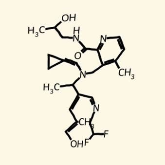 CC(/C=C(\C=N/CC(F)F)C(C)N(C=C1CC1)Cc1c(C)ccnc1C(=O)NCC(C)O)=C\O